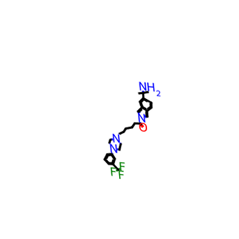 CC(C)(N)c1ccc2cn(C(=O)CCCCCN3CCN(c4cccc(C(F)(F)F)c4)CC3)cc2c1